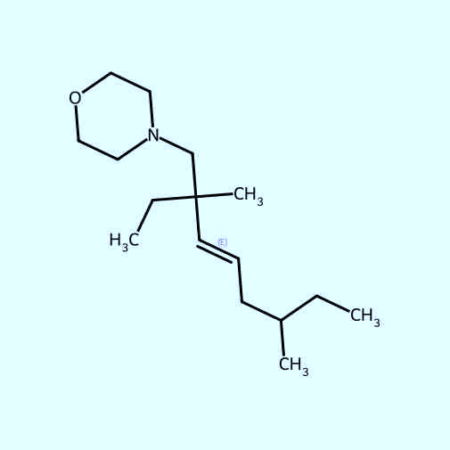 CCC(C)C/C=C/C(C)(CC)CN1CCOCC1